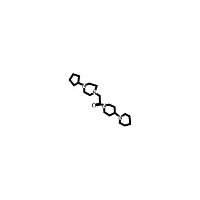 O=C(CN1CCN(C2CCCC2)CC1)N1CCC(N2CCCCC2)CC1